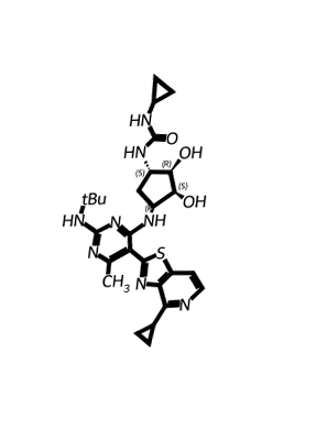 Cc1nc(NC(C)(C)C)nc(N[C@@H]2C[C@H](NC(=O)NC3CC3)[C@@H](O)[C@H]2O)c1-c1nc2c(C3CC3)nccc2s1